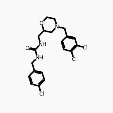 O=C(NCc1ccc(Cl)cc1)NCC1CN(Cc2ccc(Cl)c(Cl)c2)CCO1